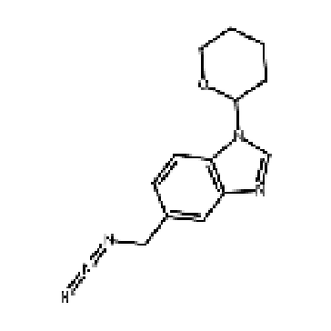 [N-]=[N+]=NCc1ccc2c(c1)ncn2C1CCCCO1